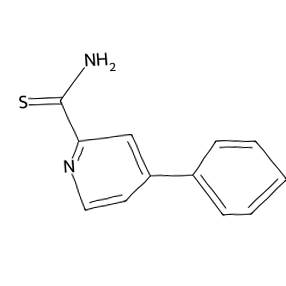 NC(=S)c1cc(-c2ccccc2)ccn1